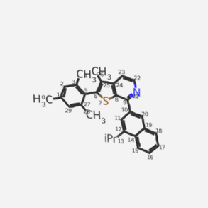 Cc1cc(C)c(-c2sc3c(-c4cc(C(C)C)c5ccccc5c4)nccc3c2C)c(C)c1